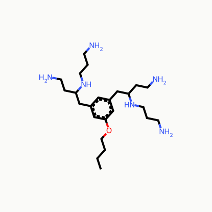 CCCCOc1cc(CC(CCN)NCCCN)cc(CC(CCN)NCCCN)c1